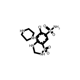 C1CNCCN1.NS(=O)(=O)c1cc2c(cc1Cl)NCNS2(=O)=O